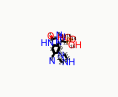 N#Cc1cc2[nH]c(=O)c3nnc(CP(=O)(O)O)n3c2cc1N1CCNCC1